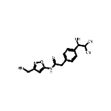 CC(C)(C)Cc1cc(NC(=O)Cc2ccc(C(O)C(C#N)C#N)cc2)on1